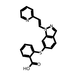 O=C(O)c1ccccc1Sc1ccc2cnn(C=Cc3ccccn3)c2c1